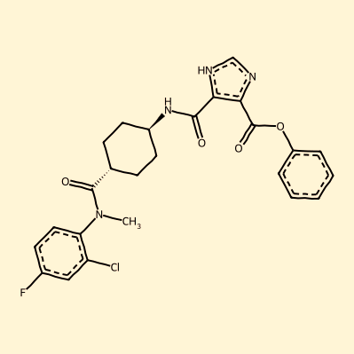 CN(c1ccc(F)cc1Cl)C(=O)[C@H]1CC[C@H](NC(=O)c2[nH]cnc2C(=O)Oc2ccccc2)CC1